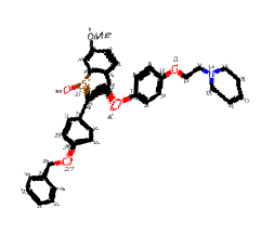 COc1ccc2c(Oc3ccc(OCCN4CCCCC4)cc3)c(-c3ccc(OCc4ccccc4)cc3)[s+]([O-])c2c1